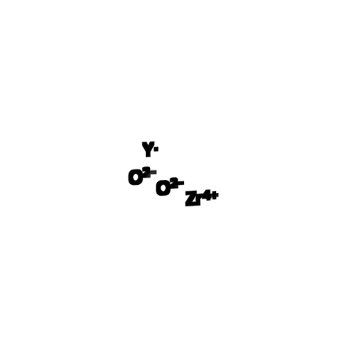 [O-2].[O-2].[Y].[Zr+4]